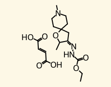 CCOC(=O)NN=C1CC2(CCN(C)CC2)OC1C.O=C(O)C=CC(=O)O